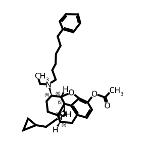 CCN(CCCCCCc1ccccc1)[C@@H]1CC[C@@]2(O)[C@H]3Cc4ccc(OC(C)=O)c5c4[C@@]2(CCN3CC2CC2)[C@H]1O5